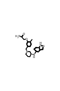 Cc1ccc(CN2CCC[C@H](Nc3ccc4[nH]ncc4c3)C2)cc1OCC(N)=O